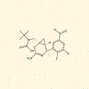 CC(C)(C)N(C[C@]12C[C@H]1[C@@](C)(c1cc([N+](=O)[O-])cc(F)c1F)N=C(N)S2)C(=O)O